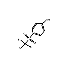 O=S(=O)(c1ccc(O)cc1)C(Br)(Br)Br